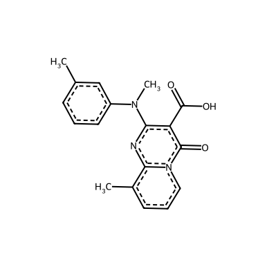 Cc1cccc(N(C)c2nc3c(C)cccn3c(=O)c2C(=O)O)c1